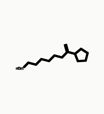 C=C(CCCCCCCCCCCCCC)C1CCCC1